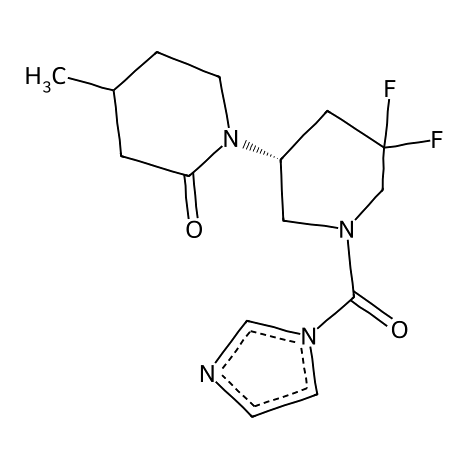 CC1CCN([C@H]2CN(C(=O)n3ccnc3)CC(F)(F)C2)C(=O)C1